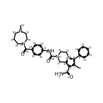 Cc1c(C(N)=O)c2n(c1-c1ccccc1)CCN(C(=O)Nc1ccc(C(=O)N3CCCN(C)CC3)cc1)C2